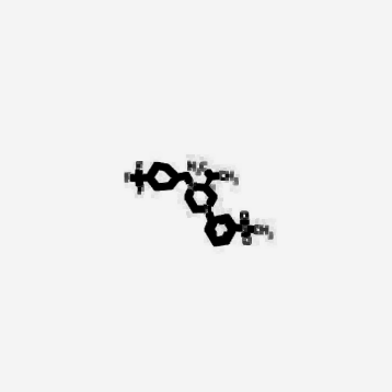 CC(C)[C@H]1CN(c2cccc(S(C)(=O)=O)c2)CCN1CC1CCC(C(F)(F)F)CC1